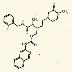 CN1CCN(CC[C@@H](COC(=O)Nc2cc3ccccc3cn2)N(C)C(=O)NCc2ccccc2Cl)CC1=O